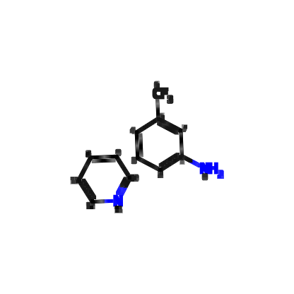 Nc1cccc(C(F)(F)F)c1.c1ccncc1